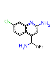 CCCC(N)c1cc(N)nc2cc(Cl)ccc12